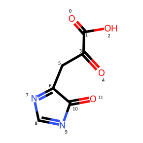 O=C(O)C(=O)CC1=NC=NC1=O